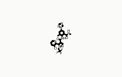 CNC(=O)c1cc(-n2cncn2)cc(C)c1NC(=O)c1cnn(CC(F)(F)F)c1-c1ncccc1Cl